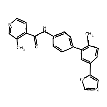 Cc1cnccc1C(=O)Nc1ccc(-c2cc(-c3cnco3)ccc2C)cc1